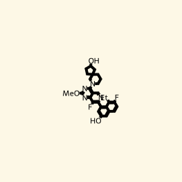 CCc1c(F)ccc2cc(O)cc(-c3ncc4c(N5CCCC6(CCC(O)C6)C5)nc(OC)nc4c3F)c12